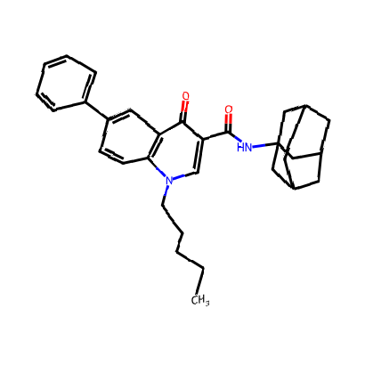 CCCCCn1cc(C(=O)NC23CC4CC(CC(C4)C2)C3)c(=O)c2cc(-c3ccccc3)ccc21